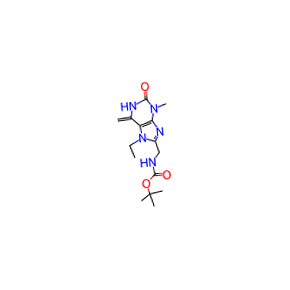 C=C1NC(=O)N(C)c2nc(CNC(=O)OC(C)(C)C)n(CC)c21